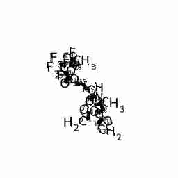 C=CC(=O)OCC(C)(COC(=O)C=C)NC(=O)OCCCOC(=O)C(F)(OC(F)(F)C(C)(F)C(F)(F)F)C(F)(F)F